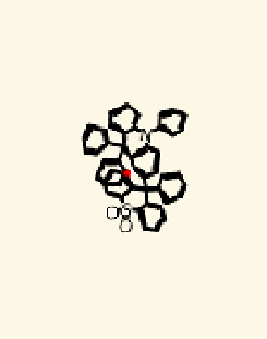 O=S1(=O)c2ccccc2C(c2ccccc2)(c2ccc3c(c2)C(c2ccccc2)(c2ccccc2)c2ccccc2N3c2ccccc2)c2ccccc21